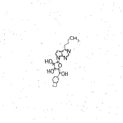 CCCCc1ncnc2c1ccn2[C@@H]1O[C@H]([C@H](O)c2ccc3c(c2)CC3)[C@@H](O)[C@H]1O